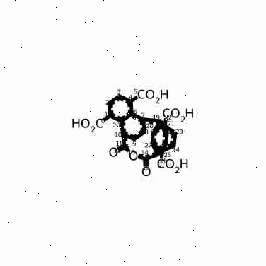 O=C(O)c1ccc(C(=O)O)c2c3ccc(c(=O)oc(=O)c4ccc3c3c(C(=O)O)ccc(C(=O)O)c43)c12